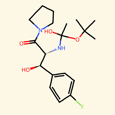 CC(C)(C)OC(C)(O)N[C@@H](C(=O)N1CCCC1)[C@H](O)c1ccc(F)cc1